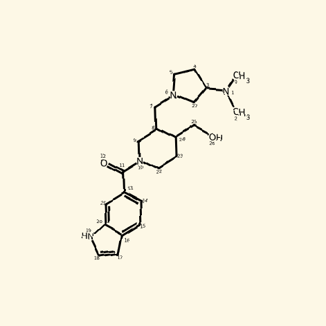 CN(C)C1CCN(CC2CN(C(=O)c3ccc4cc[nH]c4c3)CCC2CO)C1